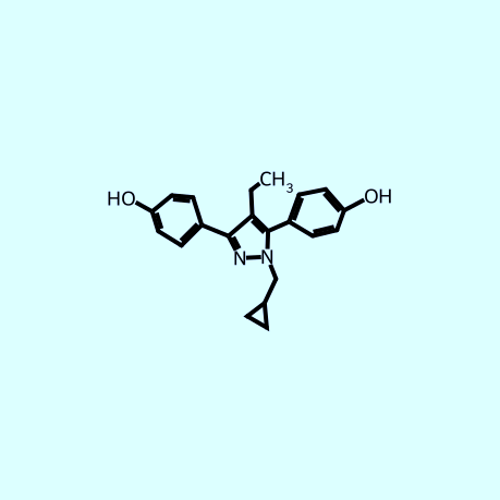 CCc1c(-c2ccc(O)cc2)nn(CC2CC2)c1-c1ccc(O)cc1